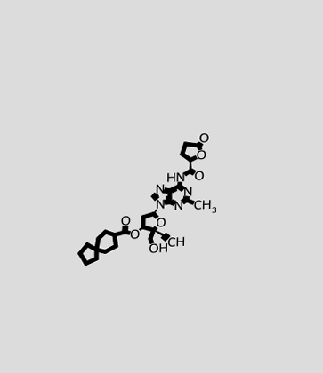 C#C[C@]1(CO)O[C@@H](n2cnc3c(NC(=O)[C@H]4CCC(=O)O4)nc(C)nc32)C[C@@H]1OC(=O)C1CCC2(CCCC2)CC1